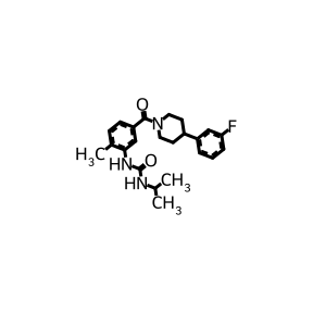 Cc1ccc(C(=O)N2CCC(c3cccc(F)c3)CC2)cc1NC(=O)NC(C)C